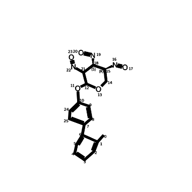 Cc1ccccc1-c1ccc(OC2OC[C@H](N=O)[C@H](N=O)C2N=O)cc1